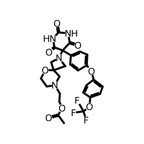 CC(=O)OCCN1CCOC2(C1)CN(C1(c3ccc(Oc4ccc(OC(F)(F)F)cc4)cc3)C(=O)NC(=O)NC1=O)C2